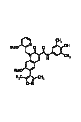 COc1cc2c(cc1-c1c(C)noc1C)cc(C(=O)Nc1cc(C)c(O)c(C)c1)c(=O)n2Cc1ncccc1OC